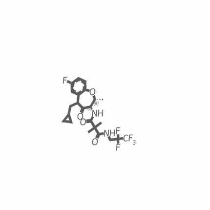 C[C@H]1Oc2ccc(F)cc2C(CC2CC2)C(=O)[C@H]1NC(=O)C(C)(C)C(=O)NCC(F)(F)C(F)(F)F